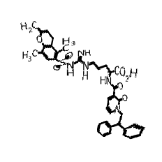 C=C1CCc2c(C)c(S(=O)(=O)NC(=N)NCCC[C@H](NC(=O)c3cccn(CC(c4ccccc4)c4ccccc4)c3=O)C(=O)O)cc(C)c2O1